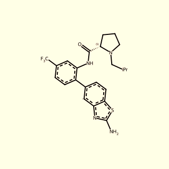 CC(C)CN1CCC[C@H]1C(=O)Nc1cc(C(F)(F)F)ccc1-c1[c]c2nc(N)sc2cc1